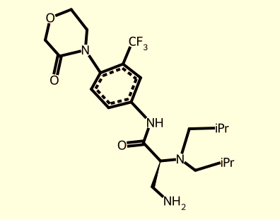 CC(C)CN(CC(C)C)[C@@H](CN)C(=O)Nc1ccc(N2CCOCC2=O)c(C(F)(F)F)c1